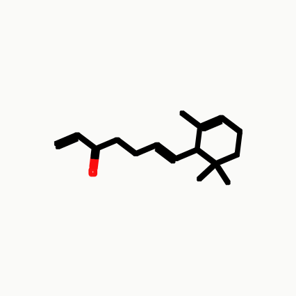 C=CC(=O)CCC=CC1C(C)=CCCC1(C)C